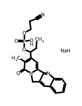 CCC(OP(=O)(O)OCCC#N)c1cc2n(c(=O)c1C)Cc1cc3ccccc3nc1-2.[NaH]